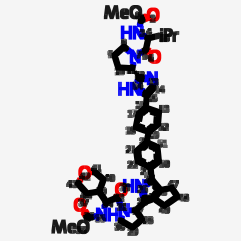 COC(=O)NC(C(=O)N1CCC[C@H]1c1ncc(-c2ccc(-c3ccc(-c4[nH]c(C5CCCN5C(=O)C(NC(=O)OC)C5CCOCC5)c5c4CCC5)cc3)cc2)[nH]1)C(C)C